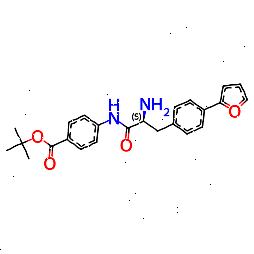 CC(C)(C)OC(=O)c1ccc(NC(=O)[C@@H](N)Cc2ccc(-c3ccco3)cc2)cc1